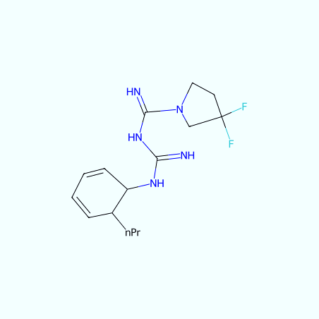 CCCC1C=CC=CC1NC(=N)NC(=N)N1CCC(F)(F)C1